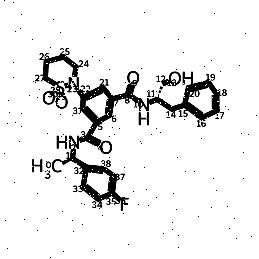 C[C@@H](NC(=O)c1cc(C(=O)N[C@H](CO)Cc2ccccc2)cc(N2CCCCS2(=O)=O)c1)c1ccc(F)cc1